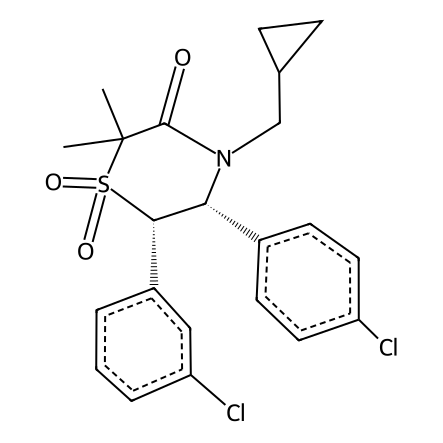 CC1(C)C(=O)N(CC2CC2)[C@H](c2ccc(Cl)cc2)[C@H](c2cccc(Cl)c2)S1(=O)=O